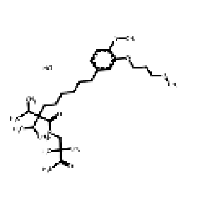 COCCCOc1cc(CCCCCCC(C(=O)NCC(C)(C)C(N)=O)(C(C)C)C(C)C)ccc1OC.Cl